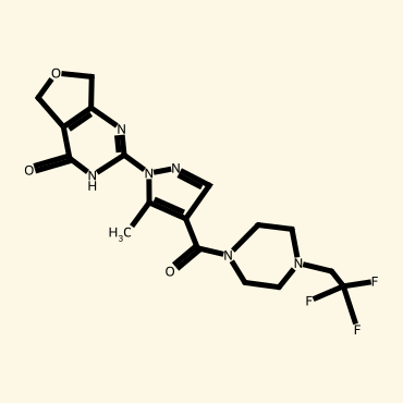 Cc1c(C(=O)N2CCN(CC(F)(F)F)CC2)cnn1-c1nc2c(c(=O)[nH]1)COC2